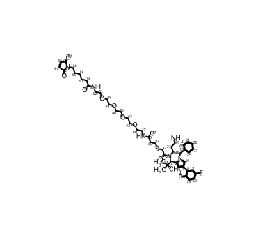 CC(C)(C)[C@H](c1cc(-c2cc(F)ccc2F)cn1Cc1ccccc1)N(CCCN)C(=O)CSCCC(=O)NCCOCCOCCOCCOCCNC(=O)CCCCCN1C(=O)C=CC1=O